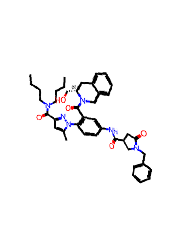 CCCCN(CCCC)C(=O)c1cc(C)n(-c2ccc(NC(=O)C3CC(=O)N(Cc4ccccc4)C3)cc2C(=O)N2Cc3ccccc3C[C@H]2CO)n1